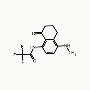 CNc1ccc(NC(=O)C(F)(F)F)c2c1CCCC2=O